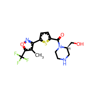 Cc1c(-c2ccc(C(=O)N3CCNC[C@@H]3CO)s2)noc1C(F)(F)F